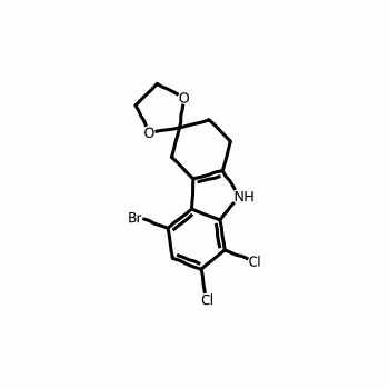 Clc1cc(Br)c2c3c([nH]c2c1Cl)CCC1(C3)OCCO1